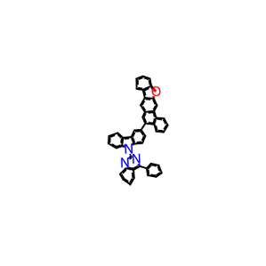 c1ccc(-c2nc(-n3c4ccccc4c4cc(-c5cc6cc7c(cc6c6ccccc56)oc5ccccc57)ccc43)nc3ccccc23)cc1